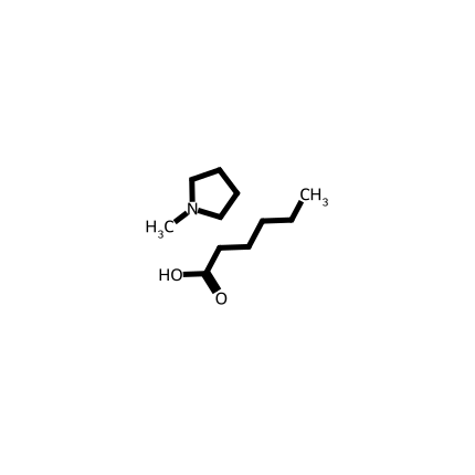 CCCCCC(=O)O.CN1CCCC1